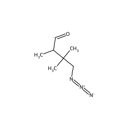 CC([C]=O)C(C)(C)CN=[N+]=[N-]